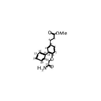 COC(=O)CCc1ccc(OCC(N)=O)c(-c2ccccc2)c1